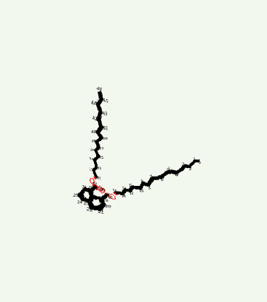 CCCCCCCCCCCCCCCCOC(=O)c1cccc2cccc(C(=O)OCCCCCCCCCCCCCCCC)c12